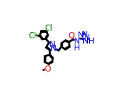 COc1ccc(-c2cc(-c3cc(Cl)cc(Cl)c3)nn2Cc2ccc(C(=O)Nc3nnn[nH]3)cc2)cc1